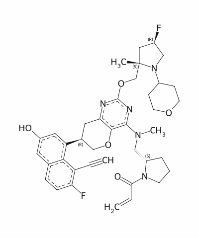 C#Cc1c(F)ccc2cc(O)cc([C@@H]3COc4c(nc(OC[C@]5(C)C[C@@H](F)CN5C5CCOCC5)nc4N(C)C[C@@H]4CCCN4C(=O)C=C)C3)c12